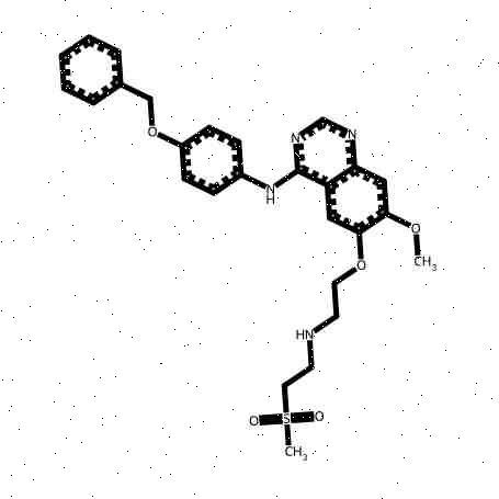 COc1cc2ncnc(Nc3ccc(OCc4ccccc4)cc3)c2cc1OCCNCCS(C)(=O)=O